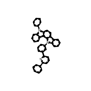 c1ccc(-c2cccc(-c3cccc(-n4c5ccccc5c5ccc6c(c7ccccc7n6-c6ccccc6)c54)c3)n2)cc1